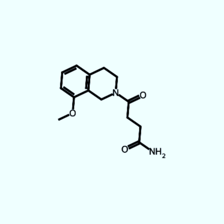 COc1cccc2c1CN(C(=O)CCC(N)=O)CC2